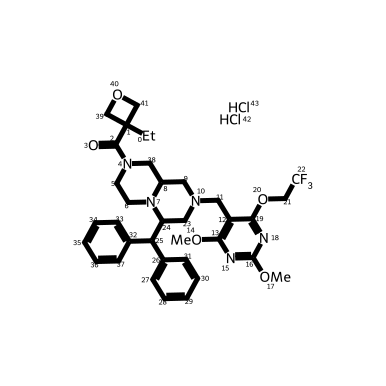 CCC1(C(=O)N2CCN3C(CN(Cc4c(OC)nc(OC)nc4OCC(F)(F)F)CC3C(c3ccccc3)c3ccccc3)C2)COC1.Cl.Cl